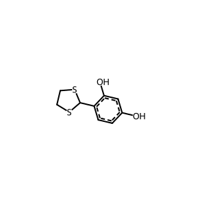 Oc1ccc(C2SCCS2)c(O)c1